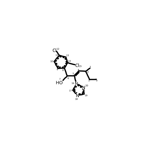 CCC(C)/C=C(/C(O)c1ccc(Cl)cc1Cl)n1cncn1